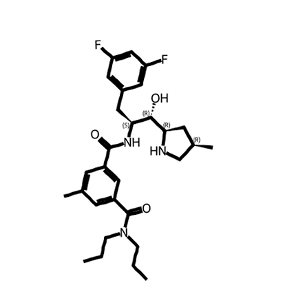 CCCN(CCC)C(=O)c1cc(C)cc(C(=O)N[C@@H](Cc2cc(F)cc(F)c2)[C@H](O)[C@H]2C[C@@H](C)CN2)c1